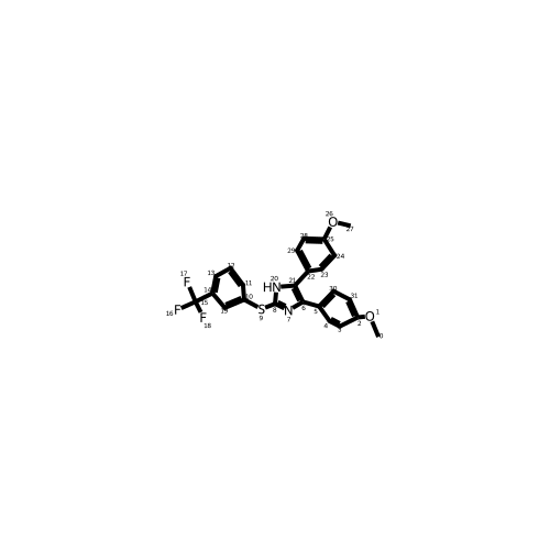 COc1ccc(-c2nc(Sc3cccc(C(F)(F)F)c3)[nH]c2-c2ccc(OC)cc2)cc1